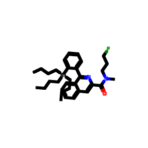 CCC[CH2][Sn]([CH2]CCC)([CH2]CCC)[c]1ccccc1-c1nc(C(=O)N(C)CCCF)cc2ccccc12